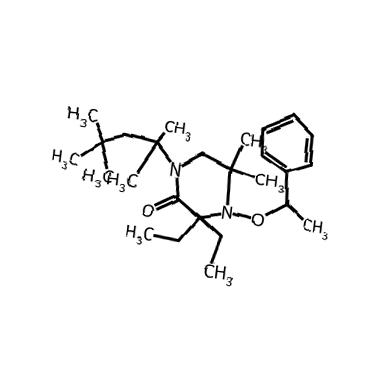 CCC1(CC)C(=O)N(C(C)(C)CC(C)(C)C)CC(C)(C)N1OC(C)c1ccccc1